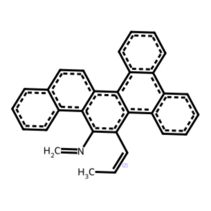 C=Nc1c(/C=C\C)c2c3ccccc3c3ccccc3c2c2ccc3ccccc3c12